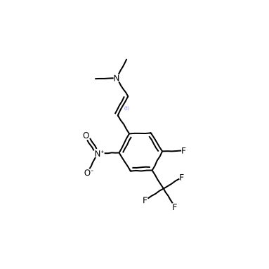 CN(C)/C=C/c1cc(F)c(C(F)(F)F)cc1[N+](=O)[O-]